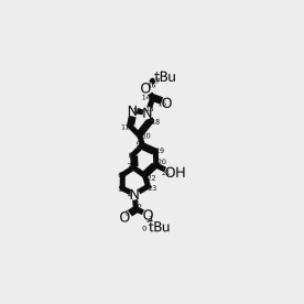 CC(C)(C)OC(=O)N1CCc2cc(-c3cnn(C(=O)OC(C)(C)C)c3)cc(O)c2C1